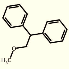 CO[CH]C(c1ccccc1)c1ccccc1